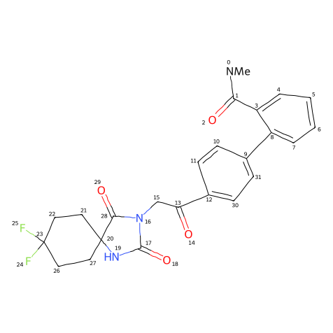 CNC(=O)c1ccccc1-c1ccc(C(=O)CN2C(=O)NC3(CCC(F)(F)CC3)C2=O)cc1